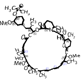 CO[C@H]1C[C@@H]2CC[C@@H](C)[C@@](O)(O2)C(=O)C(=O)N2C(C)CCC[C@H]2C(=O)O[C@H]([C@H](C)C[C@@H]2CC[C@@H](OP(C)(C)=O)[C@H](OC)C2)CC(=O)C/C=C(\C)[C@@H](O)[C@@H](OC)C(=O)[C@H](C)C[C@H](C)/C=C/C=C/C=C\1C